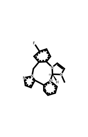 CN1C=CN2c3ccc(F)cc3Cn3nccc3-c3cccc[n+]3[C@@H]12